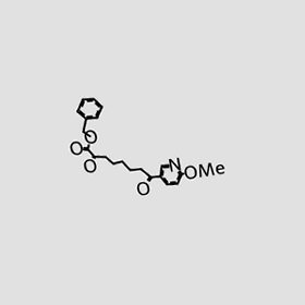 COc1ccc(C(=O)CCCCCC(=O)C(=O)OCc2ccccc2)cn1